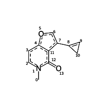 Cn1ccc2occ(C3=CC3)c2c1=O